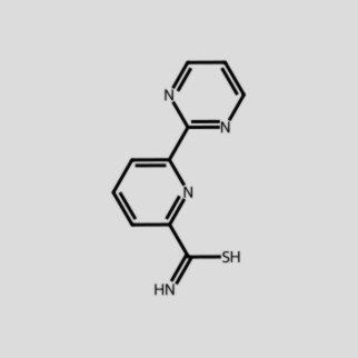 N=C(S)c1cccc(-c2ncccn2)n1